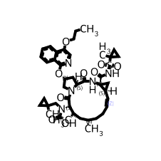 CCCOc1cnc(O[C@@H]2C[C@H]3C(=O)N[C@]4(C(=O)NS(=O)(=O)C5(C)CC5)C[C@H]4/C=C\CC[C@H](C)C[C@@H](C)[C@H](N(CC4(C)CC4)C(=O)O)C(=O)N3C2)c2ccccc12